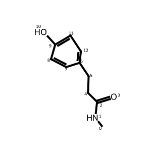 CNC(=O)CCc1ccc(O)cc1